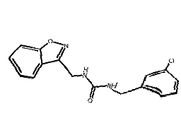 O=C(NCc1cccc(Cl)c1)NCc1noc2ccccc12